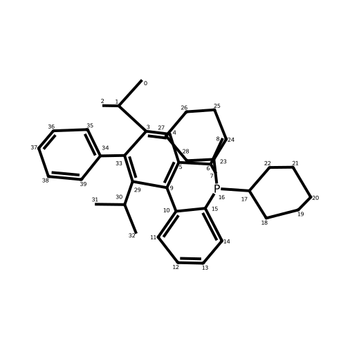 CC(C)c1cc(C(C)C)c(-c2ccccc2P(C2CCCCC2)C2CCCCC2)c(C(C)C)c1-c1ccccc1